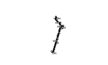 C[C@@H](CCCCNC(=O)CC[C@H](NC(=O)CCOCCOCCOCCOCCNC(=O)CCCCCCCCCCC(=O)O)C(=O)O)C(=O)O